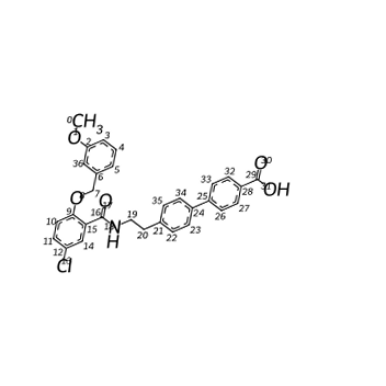 COc1cccc(COc2ccc(Cl)cc2C(=O)NCCc2ccc(-c3ccc(C(=O)O)cc3)cc2)c1